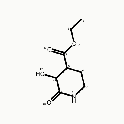 CCOC(=O)C1CCNC(=O)C1O